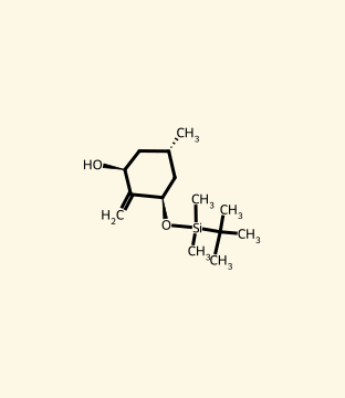 C=C1[C@@H](O)C[C@H](C)C[C@H]1O[Si](C)(C)C(C)(C)C